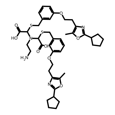 Cc1oc(C2CCCC2)nc1CCOc1cccc(CSC(C(=O)O)N(CCN)C(SCc2cccc(OCCc3nc(C4CCCC4)oc3C)c2)C(=O)O)c1